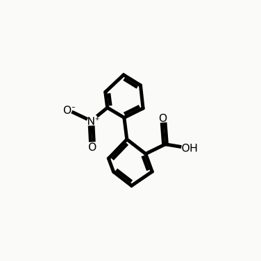 O=C(O)c1ccccc1-c1ccccc1[N+](=O)[O-]